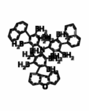 Bc1c(B)c(N(c2c(B)c(B)c(-c3cccc4ccccc34)c(B)c2B)c2c(B)c(B)c(-c3cccc4oc5ccccc5c34)c(B)c2B)c(B)c(B)c1-c1cccc2ccccc12